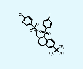 O=S(=O)(NC[C@@H]1CCc2cc(C(O)(C(F)(F)F)C(F)(F)F)ccc2N1S(=O)(=O)c1ccc(F)cc1)c1ccc(Cl)nc1